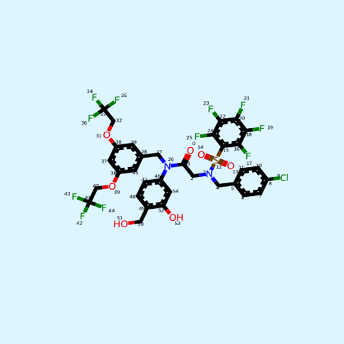 O=C(CN(Cc1ccc(Cl)cc1)S(=O)(=O)c1c(F)c(F)c(F)c(F)c1F)N(Cc1cc(OCC(F)(F)F)cc(OCC(F)(F)F)c1)c1ccc(CO)c(O)c1